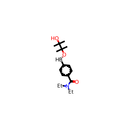 CCN(CC)C(=O)c1ccc(BOC(C)(C)C(C)(C)O)cc1